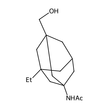 CCC12CC3CC(CO)(C1)CC(NC(C)=O)(C3)C2